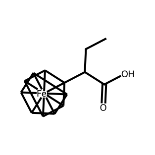 CCC(C(=O)O)[C]12[CH]3[CH]4[CH]5[CH]1[Fe]45321678[CH]2[CH]1[CH]6[CH]7[CH]28